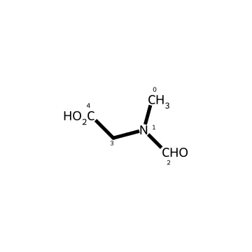 CN(C=O)CC(=O)O